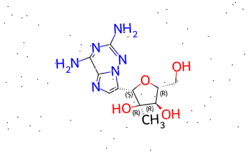 C[C@@]1(O)[C@H](O)[C@@H](CO)O[C@H]1c1cnc2c(N)nc(N)nn12